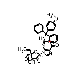 C=C[C@]1(CO)O[C@@H](n2cnc3c(=O)[nH]c(NC(c4ccccc4)(c4ccccc4)c4ccc(OC)cc4)nc32)[C@@H](F)[C@@H]1O